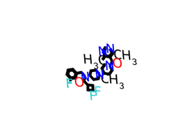 Cc1ncnc(C)c1C(=O)N1CCC(C)(N2CCC(N(Cc3cccc(F)c3)C(=O)C3CC(F)(F)C3)CC2)CC1